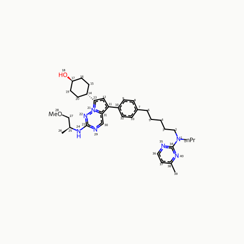 CCCN(CCCCCc1ccc(-c2cc([C@H]3CC[C@H](O)CC3)n3nc(N[C@@H](C)COC)ncc23)cc1)c1nccc(C)n1